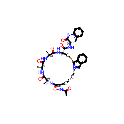 CC(=O)N[C@H]1CCCCn2cc3ccccc3c2SC[C@@H](C(=O)N[C@@H](Cc2ccccc2)C(N)=O)NC(=O)[C@H](C)NC(=O)[C@H](C)NC(=O)[C@H](C)NC1=O